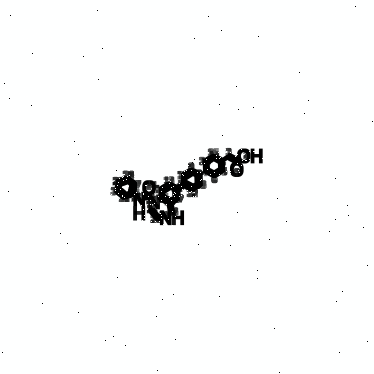 O=C(O)C[C@H]1CC[C@H](c2ccc(-c3ccc4c(c3)CNCCN4C(=O)Nc3ccccc3)cc2)CC1